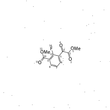 COC(=O)C(=O)c1cccc(C(=O)OC)c1F